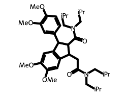 COc1ccc(C2c3cc(OC)c(OC)cc3C(CC(=O)N(CC(C)C)CC(C)C)C2C(=O)N(CC(C)C)CC(C)C)cc1OC